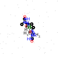 C=N/C(CNC[C@@H]1CCC(=O)N1)=C(\N=C(/C)c1cccc(-c2cccc(-c3cnc(CN(Cc4ccccc4)C[C@@H]4CCC(=O)N4)c(OC)n3)c2Cl)c1Cl)OC